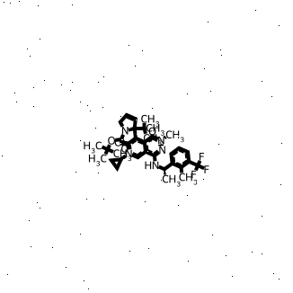 Cc1c([C@@H](C)Nc2nn(C)c(=O)c3c(C4(C(C)(C)C)C=CCN4C(=O)OC(C)(C)C)c(=O)n(C4CC4)cc23)cccc1C(F)(F)F